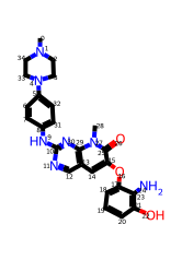 CN1CCN(c2ccc(Nc3ncc4cc(Oc5cccc(O)c5N)c(=O)n(C)c4n3)cc2)CC1